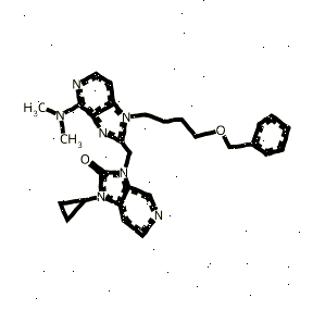 CN(C)c1nccc2c1nc(Cn1c(=O)n(C3CC3)c3ccncc31)n2CCCCOCc1ccccc1